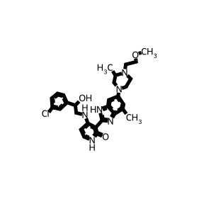 COCCN1CCN(c2cc(C)c3nc(-c4c(NCC(O)c5cccc(Cl)c5)cc[nH]c4=O)[nH]c3c2)CC1C